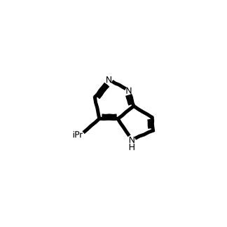 CC(C)c1cnnc2cc[nH]c12